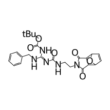 CC(C)(C)OC(=O)N/C(=N\C(=O)NCCN1C(=O)C2C3C=CC(O3)C2C1=O)NCc1ccccc1